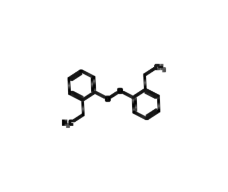 CCc1ccccc1OOc1ccccc1CC